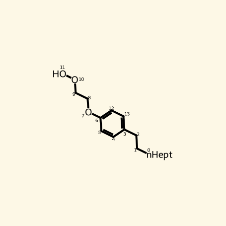 CCCCCCCCCc1ccc(OCCOO)cc1